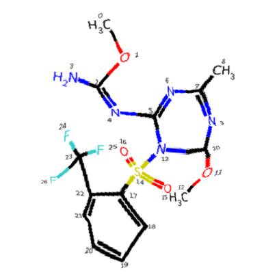 COC(N)=NC1=NC(C)=NC(OC)N1S(=O)(=O)c1ccccc1C(F)(F)F